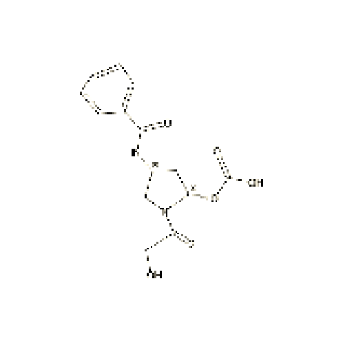 O=C(O)O[C@H]1C[C@@H](NC(=O)c2ccccc2)CN1C(=O)CO